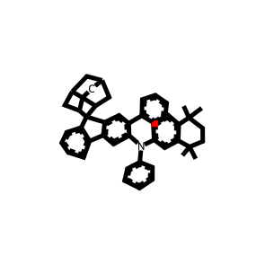 CC1(C)CCC(C)(C)c2cc(N(c3ccccc3)c3cc4c(cc3-c3ccccc3)C3(c5ccccc5-4)C4CC5CC6CC3C64C5)ccc21